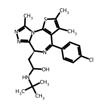 Cc1sc2c(c1C)C(c1ccc(Cl)cc1)=N[C@@H](CC(O)NC(C)(C)C)c1nnc(C)n1-2